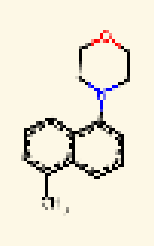 Cc1cccc2c(N3CCOCC3)cccc12